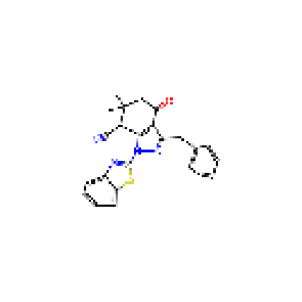 CC1(C)CC(=O)c2c(Cc3ccccc3)nn(-c3nc4ccccc4s3)c2C1C#N